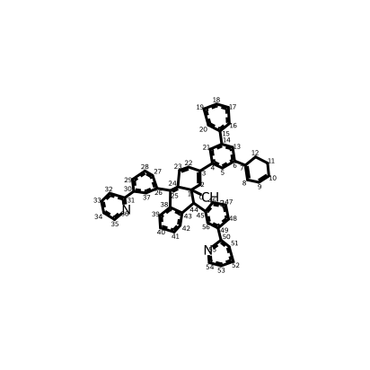 CC12C=C(c3cc(C4=CC=CCC4)cc(-c4ccccc4)c3)C=CC1=C(c1cccc(-c3ccccn3)c1)c1ccccc1C2c1cccc(-c2ccccn2)c1